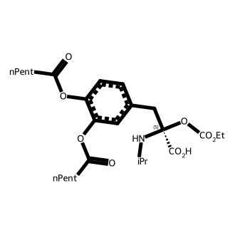 CCCCCC(=O)Oc1ccc(C[C@](NC(C)C)(OC(=O)OCC)C(=O)O)cc1OC(=O)CCCCC